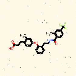 Cc1cc(Oc2ccccc2CCNC(=O)c2ccc(C(F)(F)F)cc2C)ccc1CCC(=O)O